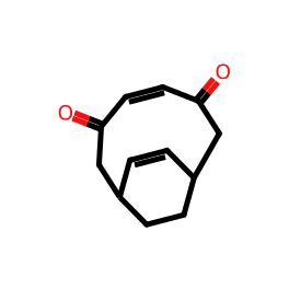 O=C1C=CC(=O)CC2C=CC(CC2)C1